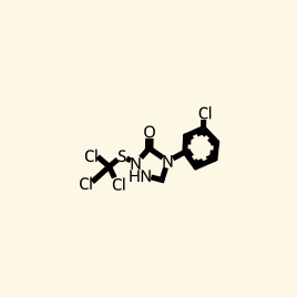 O=C1N(SC(Cl)(Cl)Cl)NCN1c1cccc(Cl)c1